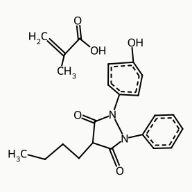 C=C(C)C(=O)O.CCCCC1C(=O)N(c2ccccc2)N(c2ccc(O)cc2)C1=O